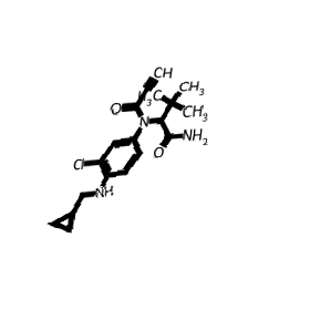 C#CC(=O)N(c1ccc(NCC2CC2)c(Cl)c1)C(C(N)=O)C(C)(C)C